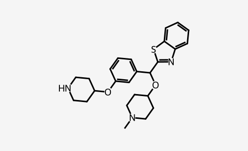 CN1CCC(OC(c2cccc(OC3CCNCC3)c2)c2nc3ccccc3s2)CC1